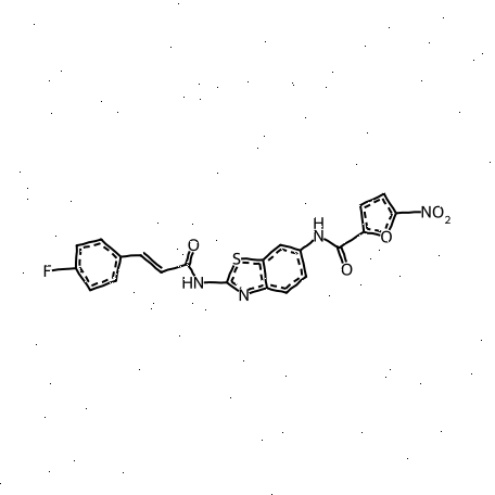 O=C(/C=C/c1ccc(F)cc1)Nc1nc2ccc(NC(=O)c3ccc([N+](=O)[O-])o3)cc2s1